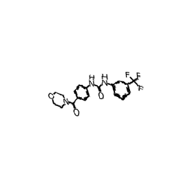 O=C(Nc1ccc(C(=O)N2CCOCC2)cc1)Nc1cccc(C(F)(F)F)c1